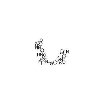 CC1(C)C(=O)N(c2ccc(C#N)c(C(F)(F)F)c2)C(=S)N1[C@H]1CC[C@H](OCCN2CCN(CC(=O)Nc3cccc(NC4CCC(=O)NC4=O)c3)C(C(F)(F)F)C2)CC1